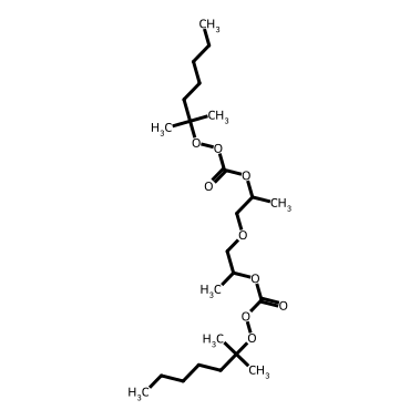 CCCCCC(C)(C)OOC(=O)OC(C)COCC(C)OC(=O)OOC(C)(C)CCCCC